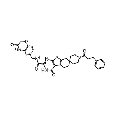 O=C1COc2ccc(CNC(=O)c3nc4sc5c(c4c(=O)[nH]3)CCC3(CCN(C(=O)CCc4ccccc4)CC3)C5)cc2N1